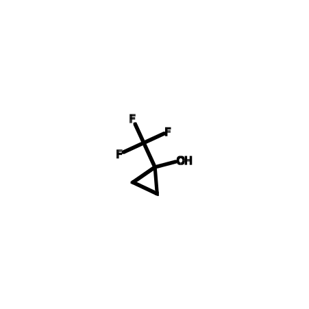 OC1(C(F)(F)F)CC1